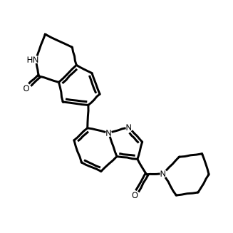 O=C1NCCc2ccc(-c3cccc4c(C(=O)N5CCCCC5)cnn34)cc21